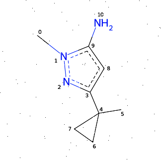 Cn1nc(C2(C)CC2)cc1N